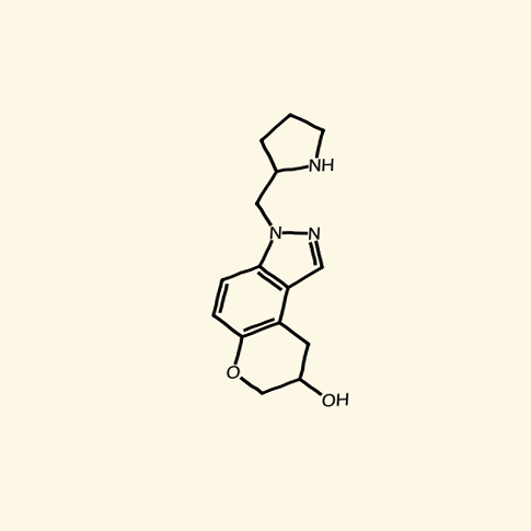 OC1COc2ccc3c(cnn3CC3CCCN3)c2C1